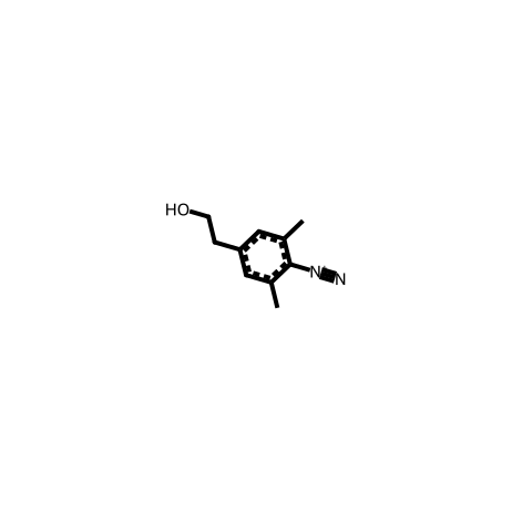 Cc1cc(CCO)cc(C)c1[N+]#N